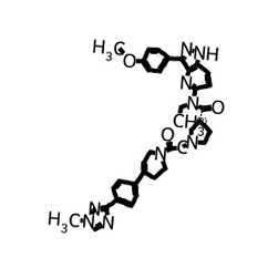 CCN(C(=O)[C@@H]1CCN(CC(=O)N2CC=C(c3ccc(-c4ncn(C)n4)cc3)CC2)C1)c1ccc2[nH]nc(-c3ccc(OC)cc3)c2n1